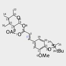 COc1cc(/C=C/C(=O)OC2OC(C)C(C)C(C)C2OC(C)=O)ccc1O[Si](C)(C)C(C)(C)C